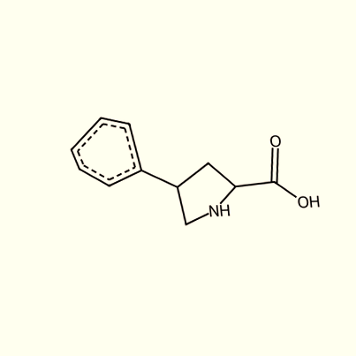 O=C(O)C1CC(c2ccccc2)CN1